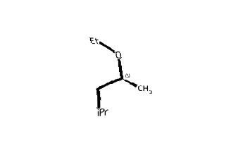 CCO[C@@H](C)CC(C)C